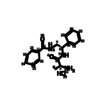 C[C@H](N)C(=O)N[C@H](CNC(=O)c1cccnc1)c1ccccc1.Cl